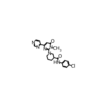 Cn1c(N2CCCC(C(=O)Nc3ccc(Cl)cc3)C2)nc(-c2ccncn2)cc1=O